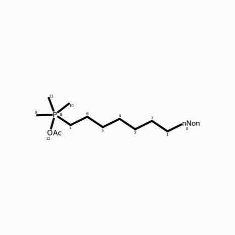 CCCCCCCCCCCCCCCCP(C)(C)(C)OC(C)=O